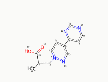 CC(C[n+]1ccc(-c2ccncn2)cn1)C(=O)O